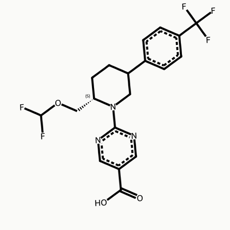 O=C(O)c1cnc(N2CC(c3ccc(C(F)(F)F)cc3)CC[C@H]2COC(F)F)nc1